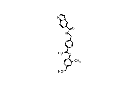 C=C(Oc1ccc(CO)cc1C)c1ccc(CNC(=O)c2cnc3nccn3c2)cc1